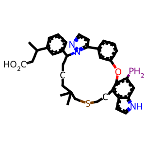 CC(CC(=O)O)c1cccc(C2CCCC(C)(C)CSCCc3c(c(P)cc4[nH]ccc34)Oc3cccc(c3)-c3ccnn32)c1